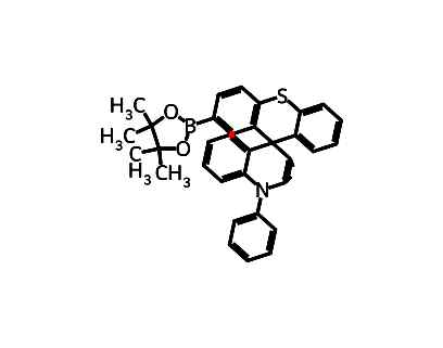 CC1(C)OB(c2ccc3c(c2)C2(c4ccccc4S3)c3ccccc3N(c3ccccc3)c3ccccc32)OC1(C)C